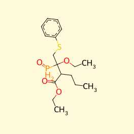 CCCC(C(=O)OCC)C(CSc1ccccc1)(OCC)[PH2]=O